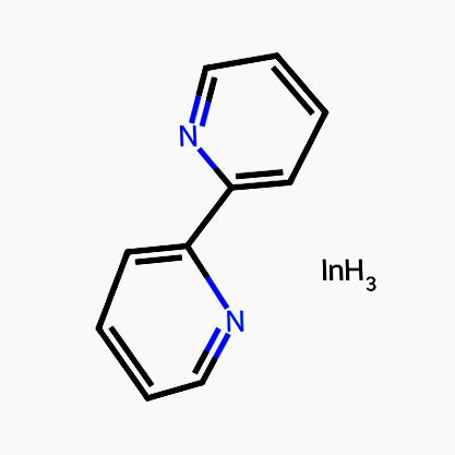 [InH3].c1ccc(-c2ccccn2)nc1